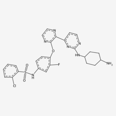 NC1CCC(Nc2nccc(-c3nccnc3Oc3ccc(NS(=O)(=O)c4ccccc4Cl)cc3F)n2)CC1